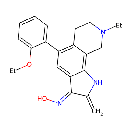 C=C1Nc2c(cc(-c3ccccc3OCC)c3c2CN(CC)CC3)/C1=N\O